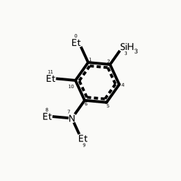 CCc1c([SiH3])ccc(N(CC)CC)c1CC